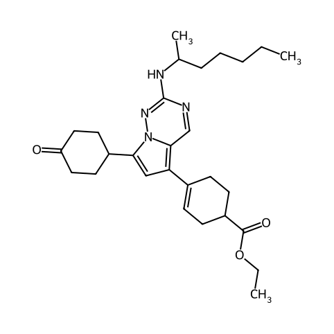 CCCCCC(C)Nc1ncc2c(C3=CCC(C(=O)OCC)CC3)cc(C3CCC(=O)CC3)n2n1